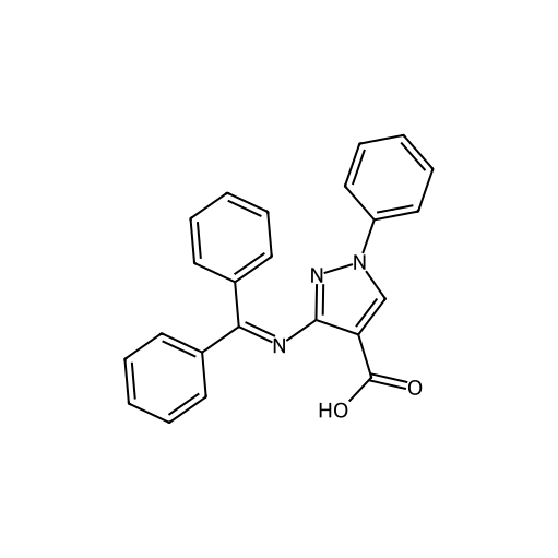 O=C(O)c1cn(-c2ccccc2)nc1N=C(c1ccccc1)c1ccccc1